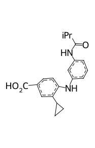 CC(C)C(=O)Nc1cccc(Nc2ccc(C(=O)O)cc2C2CC2)c1